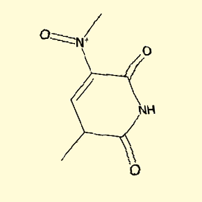 CC1C=C([N+](C)=O)C(=O)NC1=O